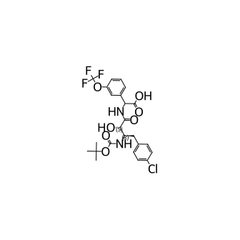 CC(C)(C)OC(=O)N[C@H](Cc1ccc(Cl)cc1)[C@H](O)C(=O)NC(C(=O)O)c1cccc(OC(F)(F)F)c1